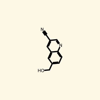 N#Cc1cnc2ccc(CO)cc2c1